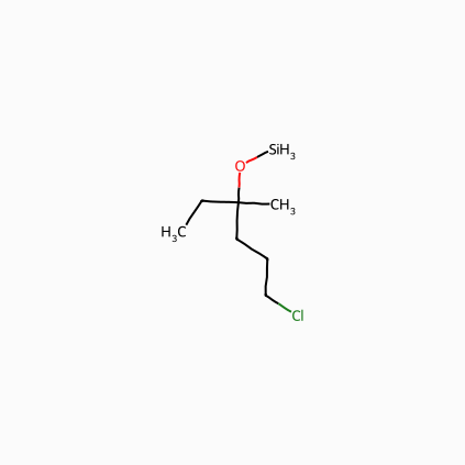 CCC(C)(CCCCl)O[SiH3]